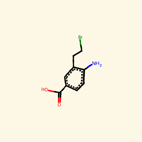 Nc1ccc(C(=O)O)cc1CCBr